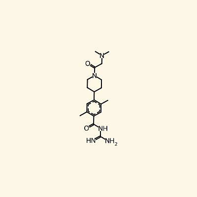 Cc1cc(C2CCN(C(=O)CN(C)C)CC2)c(C)cc1C(=O)NC(=N)N